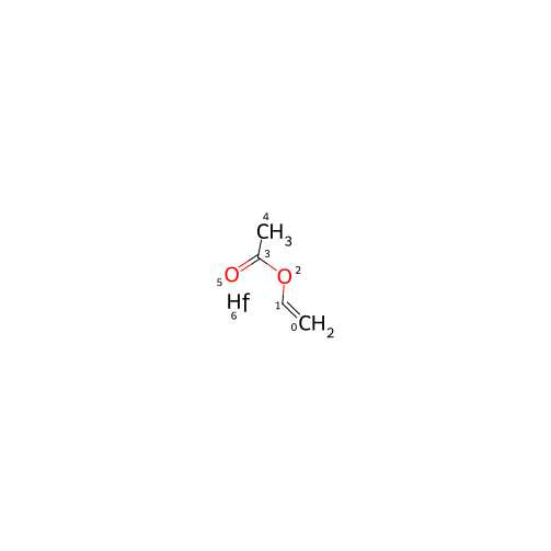 C=COC(C)=O.[Hf]